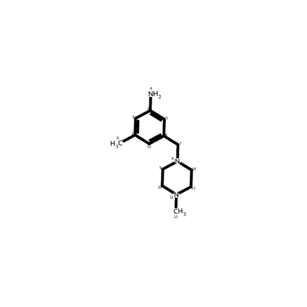 Cc1cc(N)cc(CN2CCN(C)CC2)c1